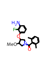 COC1CN(C(=O)c2c(C)cccc2C)CC1Oc1cccc(N)c1F